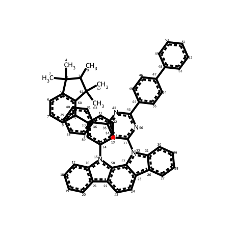 CC1C(C)(C)c2cccc(-c3cccc(-n4c5ccccc5c5ccc6c7ccccc7n(-c7nc(-c8ccccc8)nc(-c8ccc(-c9ccccc9)cc8)n7)c6c54)c3)c2C1(C)C